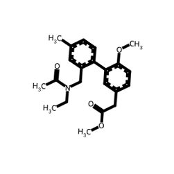 CCN(Cc1cc(C)ccc1-c1cc(CC(=O)OC)ccc1OC)C(C)=O